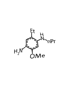 CCCNc1cc(OC)c(N)cc1CC